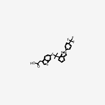 CC(C)(Sc1ccc2c(CC(=O)O)csc2c1)c1cccc2cn(-c3ccc(C(F)(F)F)cc3)nc12